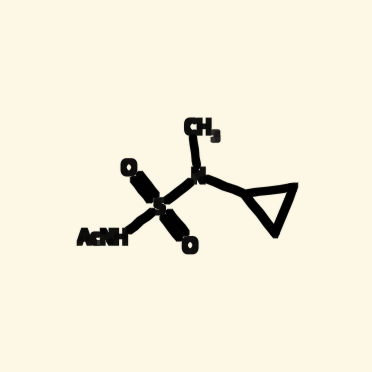 CC(=O)NS(=O)(=O)N(C)C1CC1